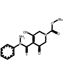 CC(C)(C)OC(=O)N1CC(=O)C(C(=S)N(N)c2ccccc2)=C(N=O)C1